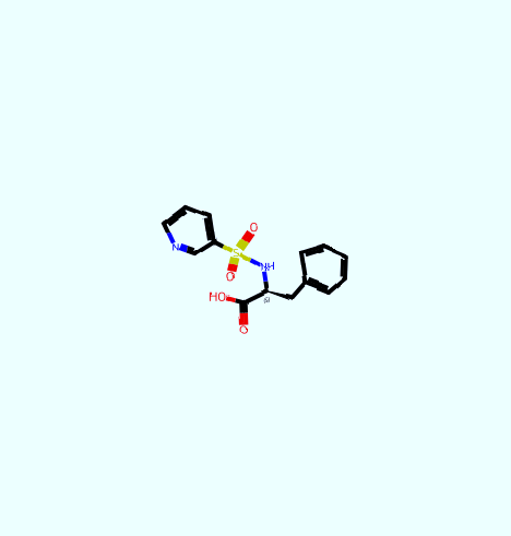 O=C(O)[C@H](Cc1ccccc1)NS(=O)(=O)c1cccnc1